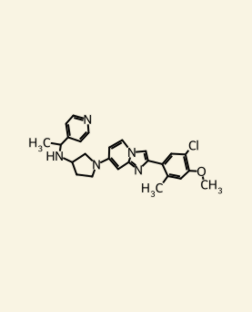 COc1cc(C)c(-c2cn3ccc(N4CCC(NC(C)c5ccncc5)C4)cc3n2)cc1Cl